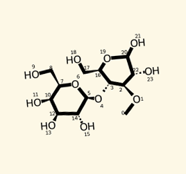 CO[C@H]1[C@H](O[C@@H]2O[C@H](CO)[C@H](O)[C@H](O)[C@H]2O)[C@@H](CO)OC(O)[C@@H]1O